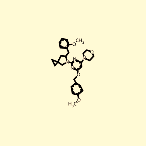 COc1ccc(COc2cc(N3CCOCC3)nc(N3CC4(CC4)CC3Cc3ccccc3OC)n2)cc1